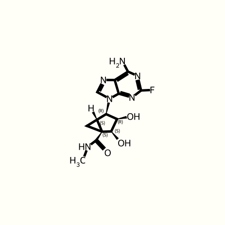 CNC(=O)[C@@]12C[C@@H]1[C@@H](n1cnc3c(N)nc(F)nc31)[C@@H](O)[C@H]2O